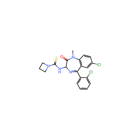 CN1C(=O)C(NC(=S)N2CCC2)N=C(c2ccccc2Cl)c2cc(Cl)ccc21